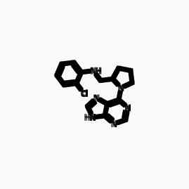 Clc1ccccc1NCC1CCCN1c1ncnc2[nH]cnc12